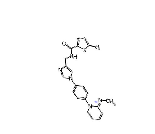 C/N=c1\ccccn1-c1ccc(-n2cnc(CNC(=O)c3ccc(Cl)s3)c2)cc1